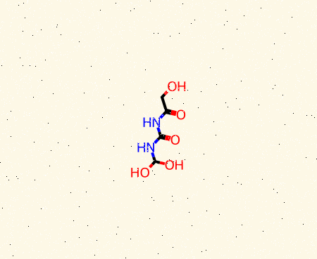 O=C(CO)NC(=O)NC(O)O